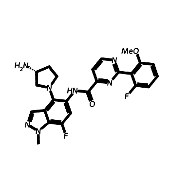 COc1cccc(F)c1-c1nccc(C(=O)Nc2cc(F)c3c(cnn3C)c2N2CC[C@@H](N)C2)n1